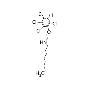 CCCCCCCCNCCOc1c(Cl)c(Cl)c(Cl)c(Cl)c1Cl